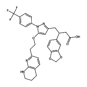 O=C(O)CC(Cc1cc(OCCc2ccc3c(n2)NCCC3)n(-c2ccc(C(F)(F)F)cc2)n1)c1ccc2c(c1)OCO2